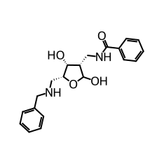 O=C(NC[C@@H]1C(O)O[C@H](CNCc2ccccc2)[C@@H]1O)c1ccccc1